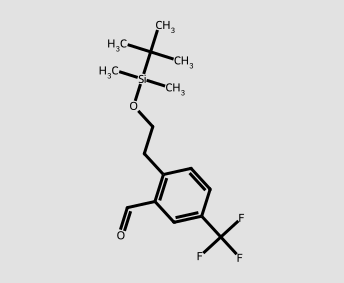 CC(C)(C)[Si](C)(C)OCCc1ccc(C(F)(F)F)cc1C=O